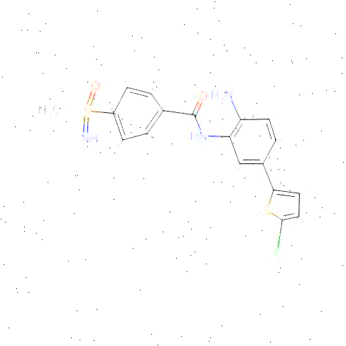 C[S@](=N)(=O)c1ccc(C(=O)Nc2cc(-c3ccc(F)s3)ccc2N)cc1